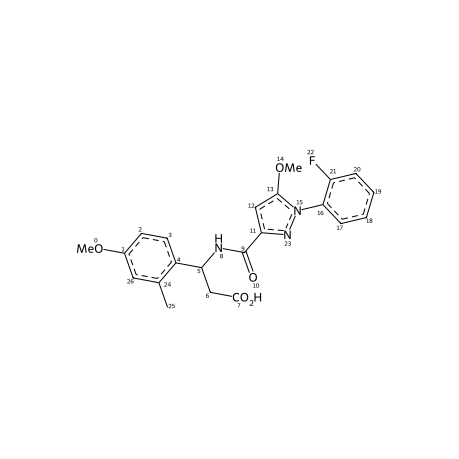 COc1ccc(C(CC(=O)O)NC(=O)c2cc(OC)n(-c3ccccc3F)n2)c(C)c1